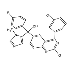 Cn1cncc1C(O)(c1ccc(F)cc1)c1ccc2nc(Cl)nc(-c3cccc(Cl)c3)c2c1